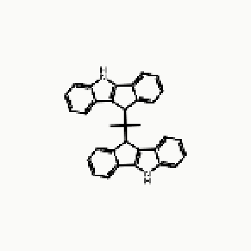 CC(C)(C1c2ccccc2-c2[nH]c3ccccc3c21)C1c2ccccc2-c2[nH]c3ccccc3c21